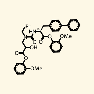 COc1ccccc1OC(=O)C(O)CN(CC(C)C)C(=O)N[C@@H](Cc1ccc(-c2ccccc2)cc1)C(=O)Oc1ccccc1OC